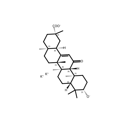 CC1(C)[C@@H]([O-])CC[C@]2(C)[C@H]3C(=O)C=C4[C@@H]5C[C@@](C)(C(=O)[O-])CC[C@]5(C)CC[C@@]4(C)[C@]3(C)CC[C@@H]12.[K+].[K+]